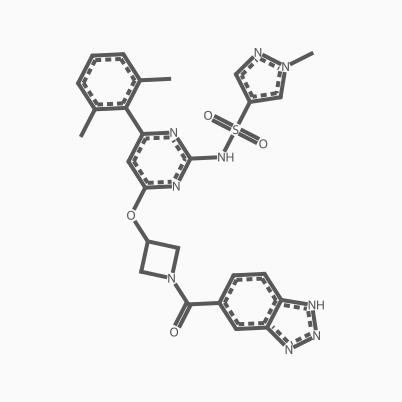 Cc1cccc(C)c1-c1cc(OC2CN(C(=O)c3ccc4[nH]nnc4c3)C2)nc(NS(=O)(=O)c2cnn(C)c2)n1